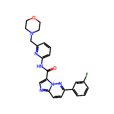 O=C(Nc1cccc(CN2CCOCC2)n1)c1cnc2ccc(-c3cccc(F)c3)nn12